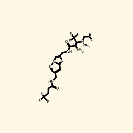 N/C(C(=O)NCc1cn2ncc(CNC(=O)CCC(F)(F)F)cc2n1)=C(\N(N)CC(F)F)C(F)(F)F